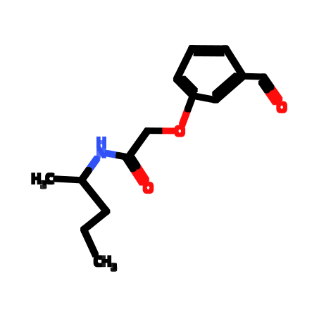 CCCC(C)NC(=O)COc1cccc(C=O)c1